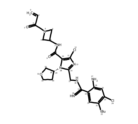 C=CC(=O)N1CC(NC(=O)c2c(Cl)nc(CNC(=N)c3cc(C(C)(C)C)c(Cl)cc3N)n2[C@@H]2CCOC2)C1